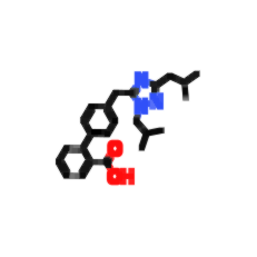 CC(C)Cc1nc(Cc2ccc(-c3ccccc3C(=O)O)cc2)n(CC(C)C)n1